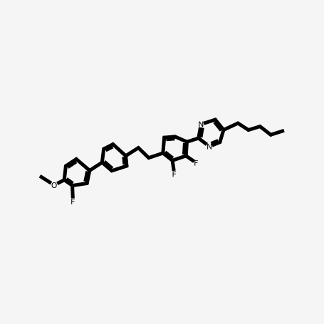 CCCCCc1cnc(-c2ccc(CCc3ccc(-c4ccc(OC)c(F)c4)cc3)c(F)c2F)nc1